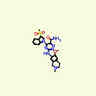 COc1cc2c(cc1Nc1nnc(C(N)=O)c(-n3cc(S(C)(=O)=O)c4ccccc43)n1)CN(C)CC2